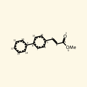 COC(=O)C=Cc1ccc(-c2ccccc2)cc1